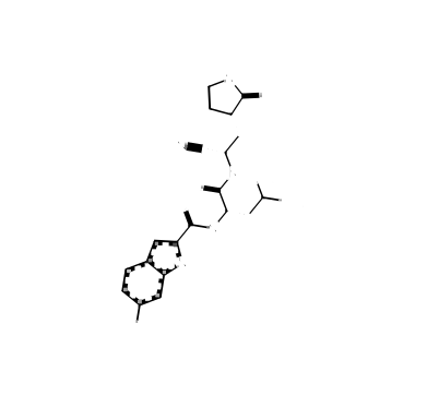 CC(C)C[C@H](NC(=O)c1cc2ccc(Cl)cc2[nH]1)C(=O)N[C@H](C#N)C[C@@H]1CCNC1=O